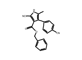 Cc1[nH]c(C#N)c(C(=O)OCc2ccccc2)c1-c1ccc(C#N)cc1